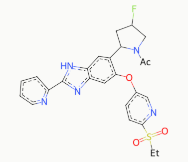 CCS(=O)(=O)c1ccc(Oc2cc3nc(-c4ccccn4)[nH]c3cc2C2CC(F)CN2C(C)=O)cn1